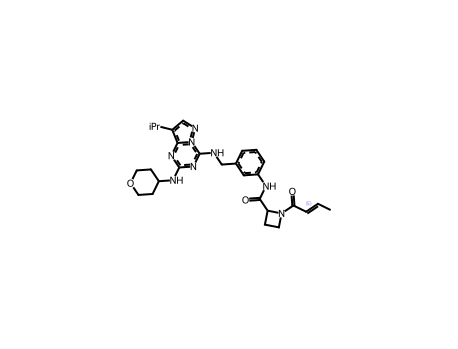 C/C=C/C(=O)N1CCC1C(=O)Nc1cccc(CNc2nc(NC3CCOCC3)nc3c(C(C)C)cnn23)c1